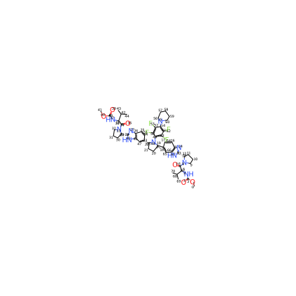 COC(=O)N[C@H](C(=O)N1CCC[C@H]1c1nc2ccc([C@H]3CC[C@H](c4ccc5nc([C@@H]6CCCN6C(=O)[C@@H](NC(=O)OC)C(C)C)[nH]c5c4)N3c3c(F)c(F)c(N4CCCCC4)c(F)c3F)cc2[nH]1)C(C)C